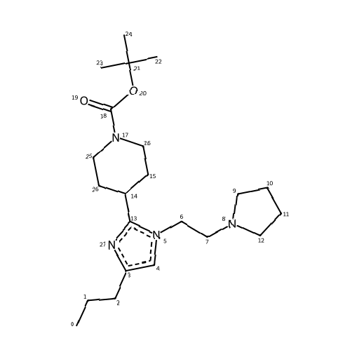 CCCc1cn(CCN2CCCC2)c(C2CCN(C(=O)OC(C)(C)C)CC2)n1